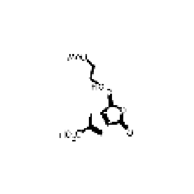 C=C(C)C(=O)O.COCCO.O=C1C=CC(=O)O1